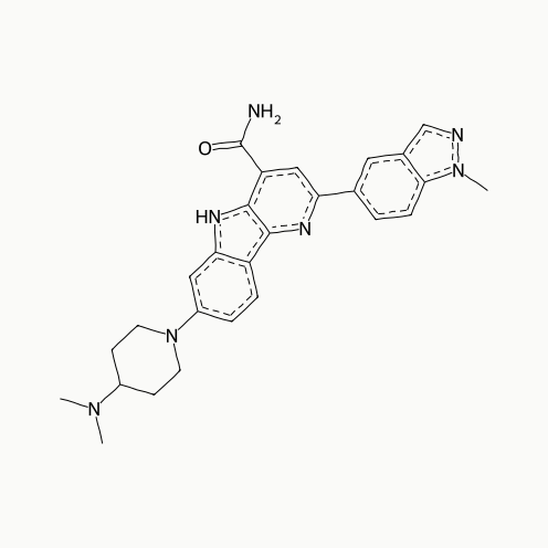 CN(C)C1CCN(c2ccc3c(c2)[nH]c2c(C(N)=O)cc(-c4ccc5c(cnn5C)c4)nc23)CC1